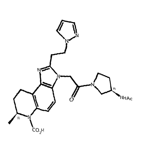 CC(=O)N[C@@H]1CCN(C(=O)Cn2c(CCn3cccn3)nc3c4c(ccc32)N(C(=O)O)[C@@H](C)CC4)C1